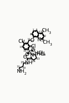 Cc1cc(C)c2cccc(OCc3c(Cl)ccc(S(=O)(=O)N4CCC[C@H]4C(=O)NCCCN)c3Cl)c2n1.Cl.Cl